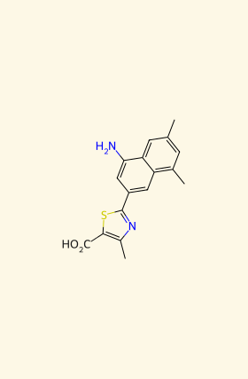 Cc1cc(C)c2cc(-c3nc(C)c(C(=O)O)s3)cc(N)c2c1